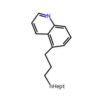 CCCCCCCCCCc1cccc2ncc[c]c12